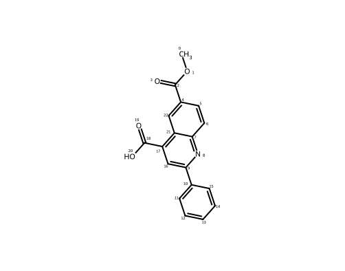 COC(=O)c1ccc2nc(-c3ccccc3)cc(C(=O)O)c2c1